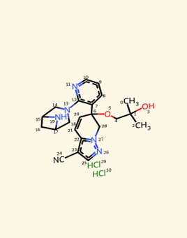 CC(C)(O)COC1(c2cccnc2N2CC3CC(C2)N3)C=Cc2c(C#N)cnn2C1.Cl.Cl